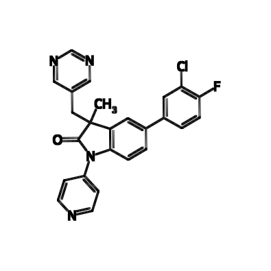 CC1(Cc2cncnc2)C(=O)N(c2ccncc2)c2ccc(-c3ccc(F)c(Cl)c3)cc21